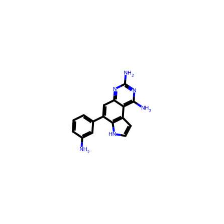 Nc1cccc(-c2cc3nc(N)nc(N)c3c3cc[nH]c23)c1